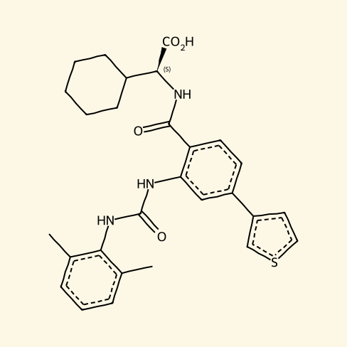 Cc1cccc(C)c1NC(=O)Nc1cc(-c2ccsc2)ccc1C(=O)N[C@H](C(=O)O)C1CCCCC1